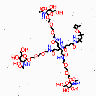 CC(=O)NC1C(OCCOCCOCCNC(=O)CCC(CCC(=O)NCCOCCOCCOC2OC(CO)C(O)C(O)C2NC(C)=O)(CCC(=O)NCCOCCOCCOC2OC(CO)C(O)C(O)C2NC(C)=O)NC(=O)CCCC(=O)NCC(C)(C)CC(C)(C)COC2CCC2C)OC(CO)C(O)C1O